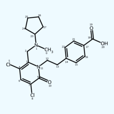 CN(Cc1c(Cl)cc(Cl)c(=O)n1CCc1ccc(C(=O)O)cc1)C1CCCC1